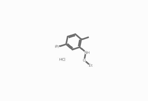 CCONc1cc(C(C)C)ccc1C.Cl